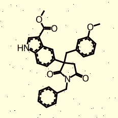 COC(=O)c1c[nH]c2ccc(C3(Cc4cccc(OC)c4)CC(=O)N(Cc4ccccc4)C3=O)cc12